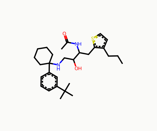 CCCc1ccsc1CC(NC(C)=O)C(O)CNC1(c2cccc(C(C)(C)C)c2)CCCCC1